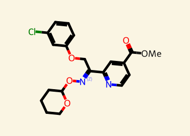 COC(=O)c1ccnc(/C(COc2cccc(Cl)c2)=N/OC2CCCCO2)c1